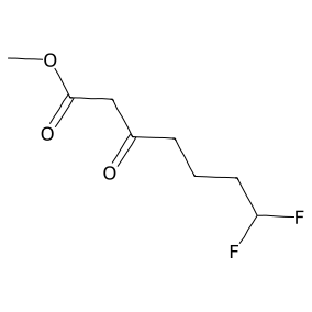 COC(=O)CC(=O)CCCC(F)F